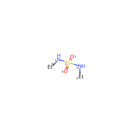 CCNS(=O)(=O)NCC